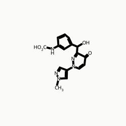 Cn1cc(-n2ccc(=O)c(C(O)c3cccc(NC(=O)O)c3)n2)cn1